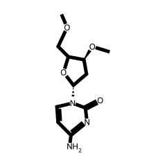 COCC1O[C@@H](n2ccc(N)nc2=O)C[C@@H]1OC